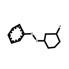 FC1CCCC(SSc2ccccc2)C1